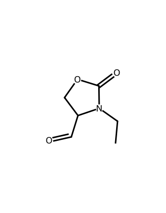 CCN1C(=O)OCC1C=O